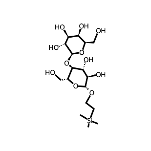 C[Si](C)(C)CCO[C@@H]1O[C@H](CO)[C@@H](O[C@@H]2O[C@H](CO)[C@H](O)[C@H](O)[C@H]2O)[C@H](O)[C@H]1O